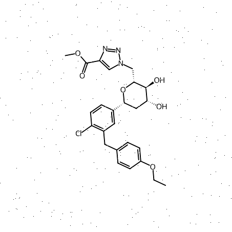 CCOc1ccc(Cc2cc([C@H]3C[C@@H](O)[C@H](O)[C@@H](Cn4cc(C(=O)OC)nn4)O3)ccc2Cl)cc1